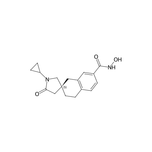 O=C(NO)c1ccc2c(c1)C[C@@]1(CC2)CC(=O)N(C2CC2)C1